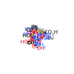 CC[C@H](C)[C@H](NC(=O)CNC(=O)[C@H](C)NC(=O)CNC(=O)[C@@H](NC(=O)[C@@H]1CCCN1C(=O)[C@@H](NC(=O)[C@H](CC(=O)O)NC(=O)[C@H](CS)NC(=O)[C@H](CCC(=O)O)NC(=O)[C@H](Cc1ccc(O)cc1)NC(=O)[C@@H](N)CO)[C@@H](C)CC)[C@@H](C)CC)C(=O)N[C@@H](CS)C(=O)O